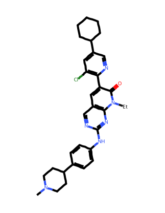 CCn1c(=O)c(-c2ncc(C3CCCCC3)cc2Cl)cc2cnc(Nc3ccc(C4CCN(C)CC4)cc3)nc21